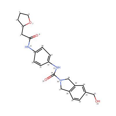 O=C(CC1CCCO1)Nc1ccc(NC(=O)N2Cc3ccc(CO)cc3C2)cc1